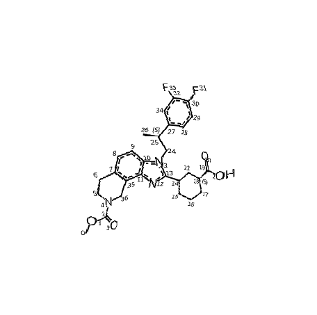 COC(=O)N1CCc2ccc3c(nc(C4CCC[C@H](C(=O)O)C4)n3C[C@@H](C)c3ccc(F)c(F)c3)c2C1